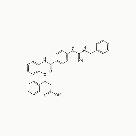 N=C(NCc1ccccc1)Nc1ccc(C(=O)Nc2ccccc2OC(CC(=O)O)c2ccccc2)cc1